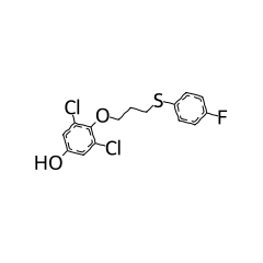 Oc1cc(Cl)c(OCCCSc2ccc(F)cc2)c(Cl)c1